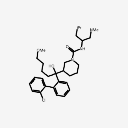 CNCC(CC(C)C)NC(=O)N1CCCC(C(O)(CCCCOC)c2ccccc2-c2ccccc2Cl)C1